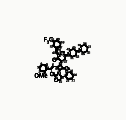 COc1ccccc1C=C[C@@H]1[C@H](N2C(=O)OC[C@@H]2c2ccccc2)C(=O)N1[C@H](CC(=O)N1CCC(N2CCCCC2)CC1)C(=O)NCc1cccc(C(F)(F)F)c1